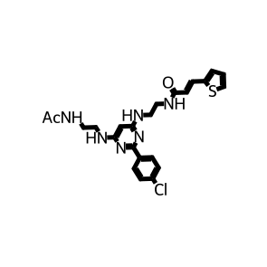 CC(=O)NCCNc1cc(NCCNC(=O)/C=C/c2cccs2)nc(-c2ccc(Cl)cc2)n1